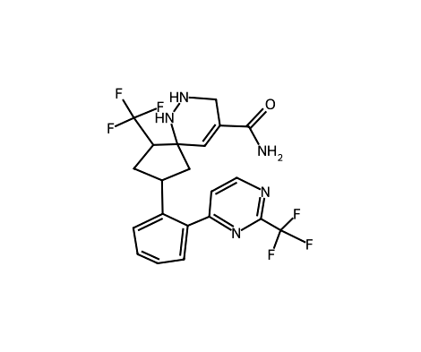 NC(=O)C1=CC2(CC(c3ccccc3-c3ccnc(C(F)(F)F)n3)CC2C(F)(F)F)NNC1